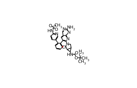 CC(C)(C)OC(=O)NC1C2CN(c3nc4nc(N)ncc4cc3-c3c(Cl)cccc3-c3ccc(NS(C)(=O)=O)nc3)CC21